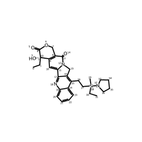 CC[C@@]1(O)C(=O)OCc2c1cc1n(c2=O)Cc2c-1nc1ccccc1c2CC[Si](C)(CC)N1CCCC1